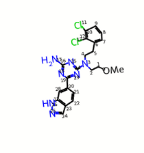 COCCN(CCc1cccc(Cl)c1Cl)c1nc(N)nc(-c2ccc3cn[nH]c3c2)n1